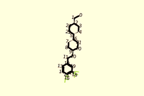 CC[C@H]1CC[C@H]([C@H]2CC[C@H](CCc3ccc(F)c(F)c3)CC2)CC1